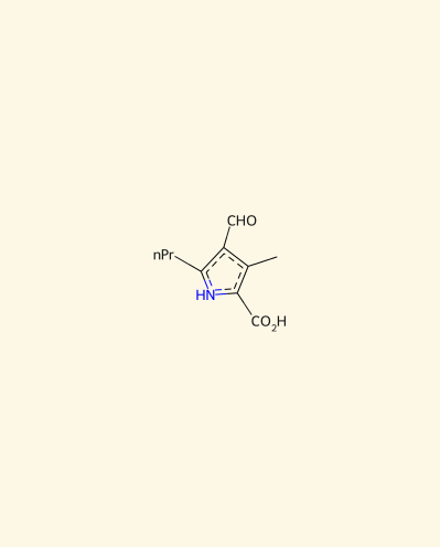 CCCc1[nH]c(C(=O)O)c(C)c1C=O